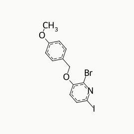 COc1ccc(COc2ccc(I)nc2Br)cc1